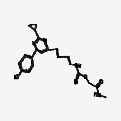 CNC(=O)COC(=O)NCCCCc1cc(-c2ccc(Cl)cc2)nc(C2CC2)n1